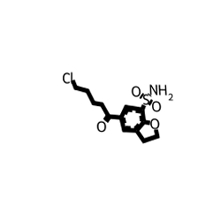 NS(=O)(=O)c1cc(C(=O)CCCCCl)cc2c1OCC2